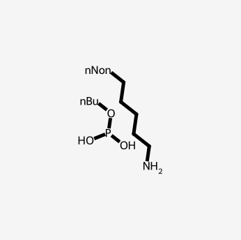 CCCCCCCCCCCCCCN.CCCCOP(O)O